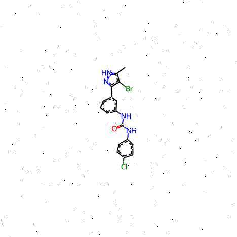 Cc1[nH]nc(-c2cccc(NC(=O)Nc3ccc(Cl)cc3)c2)c1Br